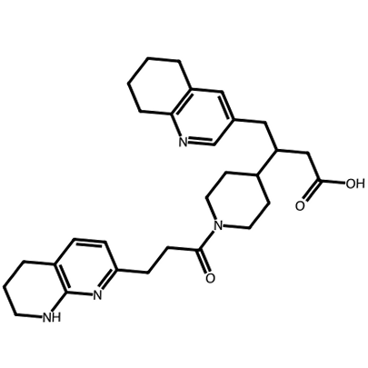 O=C(O)CC(Cc1cnc2c(c1)CCCC2)C1CCN(C(=O)CCc2ccc3c(n2)NCCC3)CC1